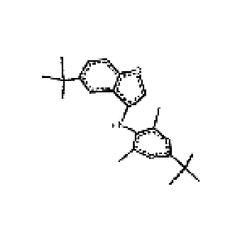 Cc1cc(C(C)(C)C)cc(C)c1Nc1coc2ccc(C(C)(C)C)cc12